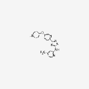 CN1CCC(Oc2ccc(-c3nsc(Nc4cc(C(F)(F)F)ccn4)n3)nc2)CC1